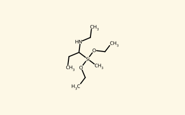 CCNC(CC)[Si](C)(OCC)OCC